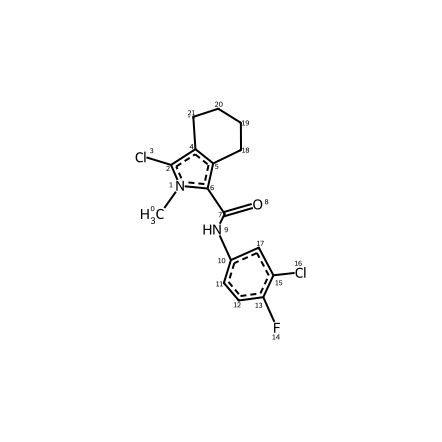 Cn1c(Cl)c2c(c1C(=O)Nc1ccc(F)c(Cl)c1)CCC[CH]2